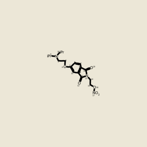 CC(C)N(CCOc1ccc2c(c1)C(=O)N(CCO[N+](=O)[O-])C2=O)C(C)C